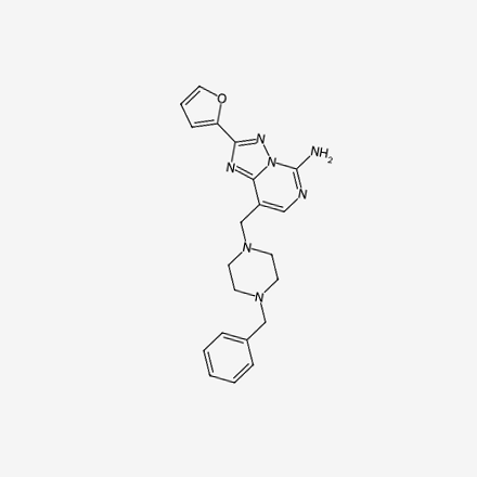 Nc1ncc(CN2CCN(Cc3ccccc3)CC2)c2nc(-c3ccco3)nn12